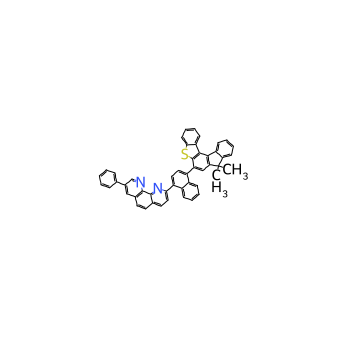 CC1(C)c2ccccc2-c2c1cc(-c1ccc(-c3ccc4ccc5cc(-c6ccccc6)cnc5c4n3)c3ccccc13)c1sc3ccccc3c21